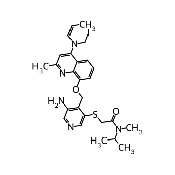 C/C=C\N(CI)c1cc(C)nc2c(OCc3c(N)cncc3SCC(=O)N(C)C(C)C)cccc12